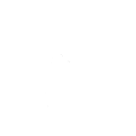 F[B-](F)(F)F.O=C(NN1C(c2ccccc2)=CC(c2ccccc2)=CC1c1ccccc1)c1cccc(F)c1